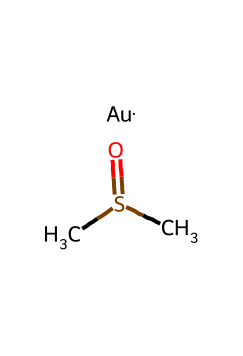 CS(C)=O.[Au]